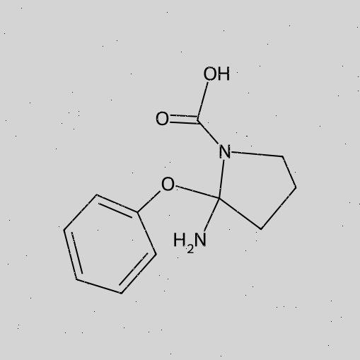 NC1(Oc2ccccc2)CCCN1C(=O)O